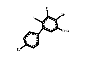 CCc1ccc(-c2cc(C=O)c(O)c(F)c2F)cc1